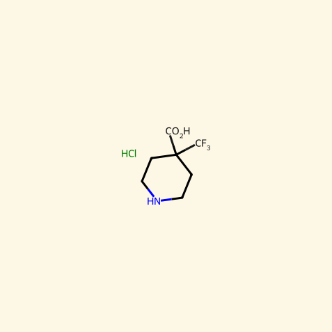 Cl.O=C(O)C1(C(F)(F)F)CCNCC1